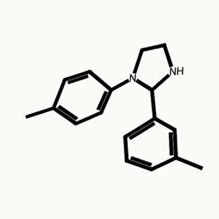 Cc1ccc(N2CCNC2c2cccc(C)c2)cc1